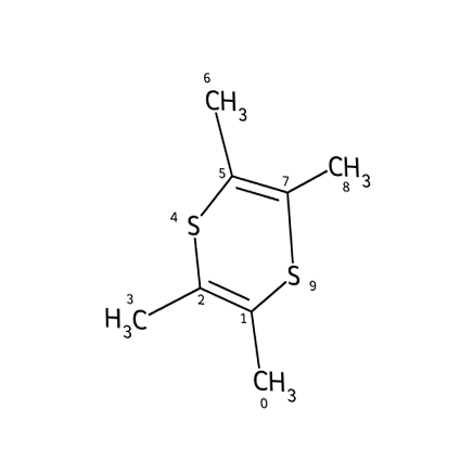 CC1=C(C)SC(C)=C(C)S1